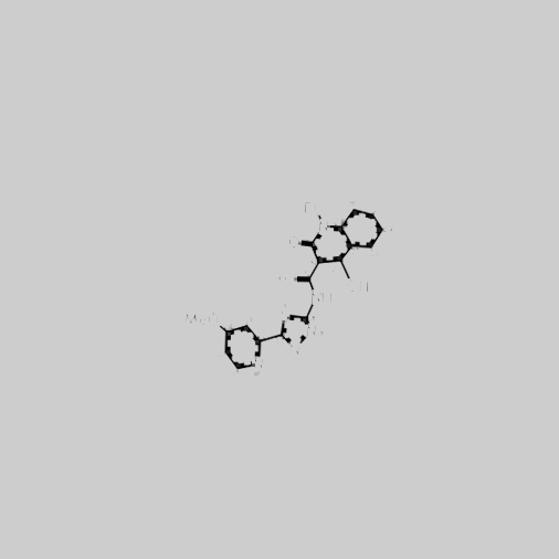 CCn1c(=O)c(C(=O)Nc2nnc(-c3cc(OC)ccn3)s2)c(O)c2ccccc21